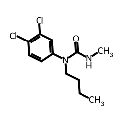 CCCCN(C(=O)NC)c1ccc(Cl)c(Cl)c1